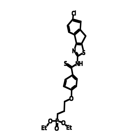 CCOP(=O)(CCCOc1ccc(C(=S)Nc2nc3c(s2)Cc2cc(Cl)ccc2-3)cc1)OCC